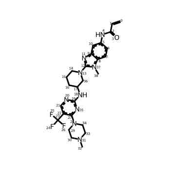 C=CC(=O)Nc1ccc2c(c1)nc(N1CCCC(Nc3ncc(C(F)(F)F)c(N4CCN(C)CC4)n3)C1)n2C